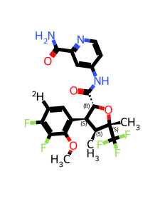 [2H]c1cc([C@H]2[C@H](C(=O)Nc3ccnc(C(N)=O)c3)O[C@](C)(C(F)(F)F)[C@H]2C)c(OC)c(F)c1F